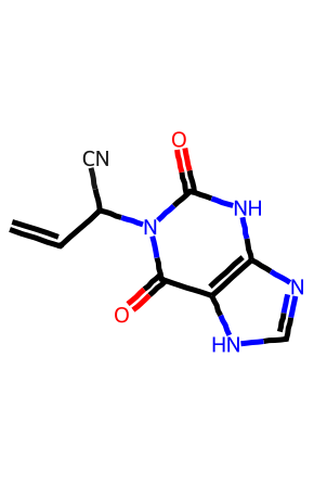 C=CC(C#N)n1c(=O)[nH]c2nc[nH]c2c1=O